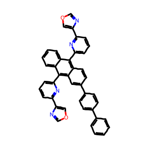 c1ccc(-c2ccc(-c3ccc4c(-c5cccc(-c6cocn6)n5)c5ccccc5c(-c5cccc(-c6cocn6)n5)c4c3)cc2)cc1